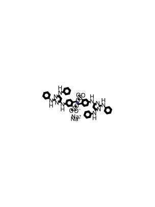 O=S(=O)([O-])c1cc(Nc2cc(Nc3ccccc3)nc(Nc3ccccc3)n2)ccc1/C=C/c1ccc(Nc2cc(Nc3ccccc3)nc(Nc3ccccc3)n2)cc1S(=O)(=O)[O-].[Na+].[Na+]